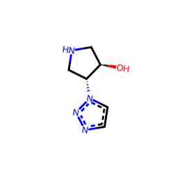 O[C@@H]1CNC[C@H]1n1ccnn1